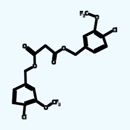 O=C(CC(=O)OCc1ccc(Cl)c(OC(F)(F)F)c1)OCc1ccc(Cl)c(OC(F)(F)F)c1